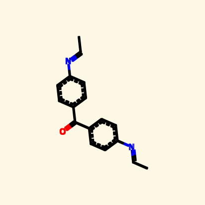 CC=Nc1ccc(C(=O)c2ccc(N=CC)cc2)cc1